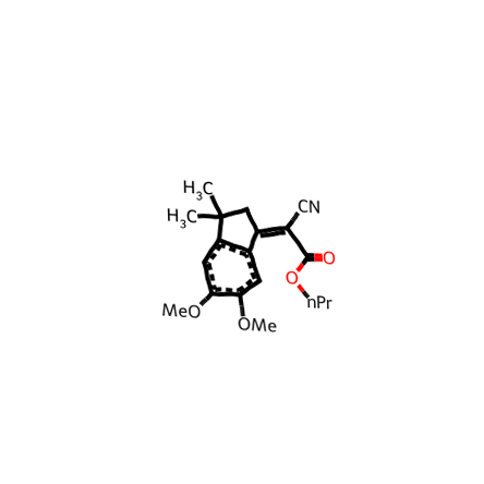 CCCOC(=O)C(C#N)=C1CC(C)(C)c2cc(OC)c(OC)cc21